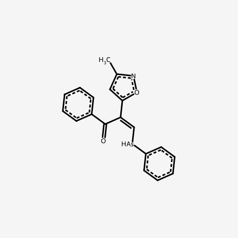 Cc1cc(C(=C[AsH]c2ccccc2)C(=O)c2ccccc2)on1